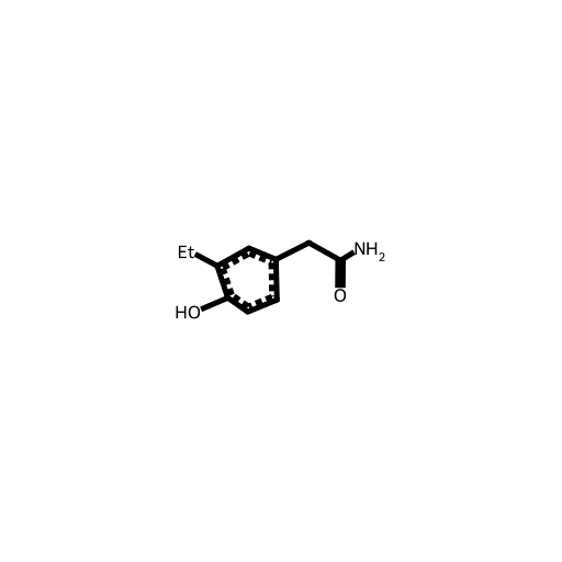 CCc1cc(CC(N)=O)ccc1O